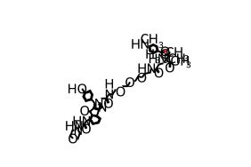 CNc1ccc(C(=O)N[C@](CCC(=O)NCCOCCOCCOCCNC(=O)Cn2nc3c(c2-c2ccc(O)cc2)C(=O)c2c(NC(=O)NN4CCOCC4)cccc2-3)(C(=O)O)C(C)(C)C)cc1